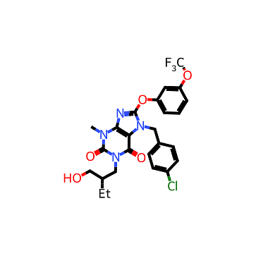 CCC(CO)Cn1c(=O)c2c(nc(Oc3cccc(OC(F)(F)F)c3)n2Cc2ccc(Cl)cc2)n(C)c1=O